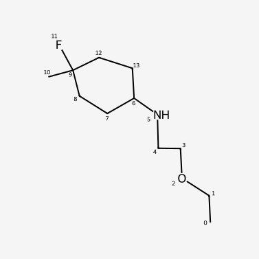 CCOCCNC1CCC(C)(F)CC1